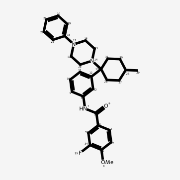 COc1ccc(C(=O)Nc2cccc(C3(N4CCN(c5ccccc5)CC4)CCC(C)CC3)c2)cc1F